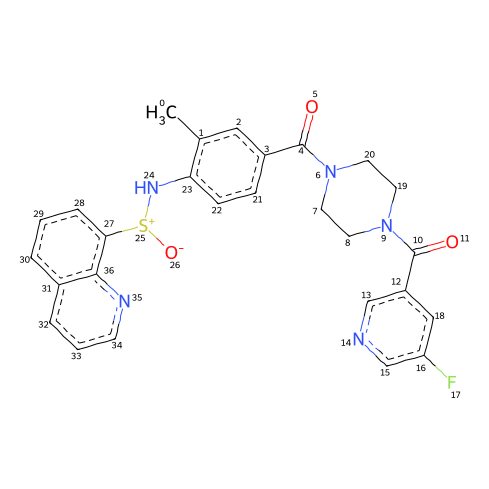 Cc1cc(C(=O)N2CCN(C(=O)c3cncc(F)c3)CC2)ccc1N[S+]([O-])c1cccc2cccnc12